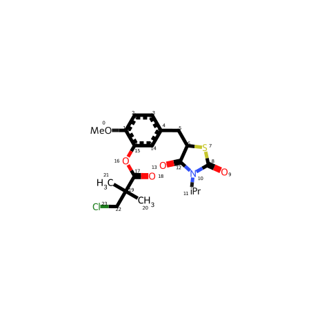 COc1ccc(CC2SC(=O)N(C(C)C)C2=O)cc1OC(=O)C(C)(C)CCl